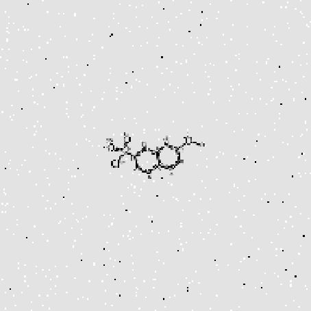 COc1ccc2ccc(S(=O)(=O)Cl)cc2n1